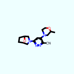 CC1CN(c2cc(N3CC4CCC(C3)O4)nnc2C#N)CCO1